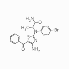 CC(C(N)=O)N(c1ccc(Br)cc1)c1nc(N)c(C(=O)c2ccccc2)s1